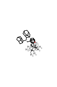 CC(C)(C)P(C[C]12[CH]3[CH]4[CH]5[C]1(CP(C1C6CC7CC(C6)CC1C7)C1C6CC7CC(C6)CC1C7)[Fe]45321678[CH]2[CH]1[CH]6[C]7([Si](C)(C)C)[CH]28)C(C)(C)C